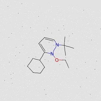 CCON1C(C2CCCCC2)=CC=CN1C(C)(C)C